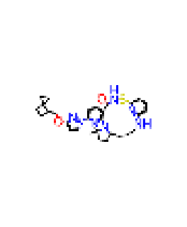 CC1(C)CCC2CCCNc3cccc(n3)SNC(=O)c3ccc(-n4ccc(OCC5CCC56CC6)n4)nc3N21